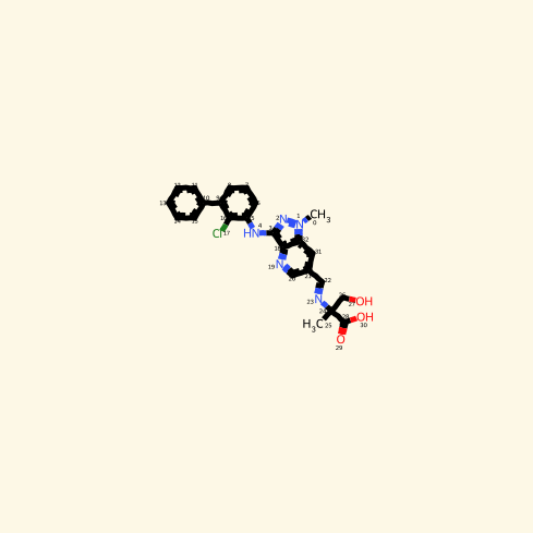 Cn1nc(Nc2cccc(-c3ccccc3)c2Cl)c2ncc(C=NC(C)(CO)C(=O)O)cc21